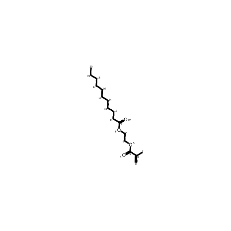 C=C(C)C(=O)OCCOC(=O)CCCCCCCCCC